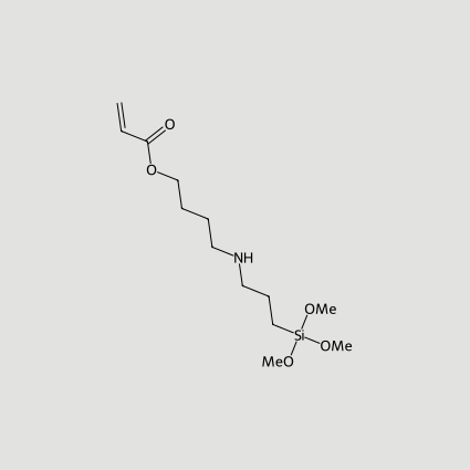 C=CC(=O)OCCCCNCCC[Si](OC)(OC)OC